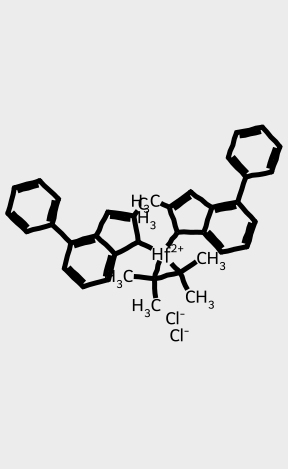 CC1=Cc2c(-c3ccccc3)cccc2[CH]1[Hf+2]1([CH]2C(C)=Cc3c(-c4ccccc4)cccc32)[C](C)(C)[C]1(C)C.[Cl-].[Cl-]